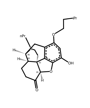 CCCN1CC[C@]23c4c5c(OCCC(C)C)cc(O)c4O[C@H]2C(=O)CC[C@H]3[C@H]1C5